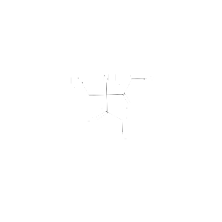 NCC(N)(C(=O)CBr)C(=O)CBr